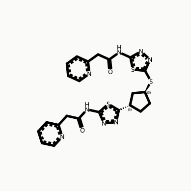 O=C(Cc1ccccn1)Nc1nnc(S[C@H]2CC[C@H](c3nnc(NC(=O)Cc4ccccn4)s3)C2)s1